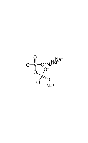 [Na+].[Na+].[Na+].[Na+].[O]=[V]([O-])([O-])[O][V](=[O])([O-])[O-]